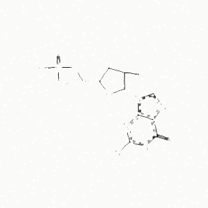 C[C@@]1(F)C[C@@H](COP(=O)(O)O)O[C@H]1n1cnc2c(=O)[nH]c(N)nc21